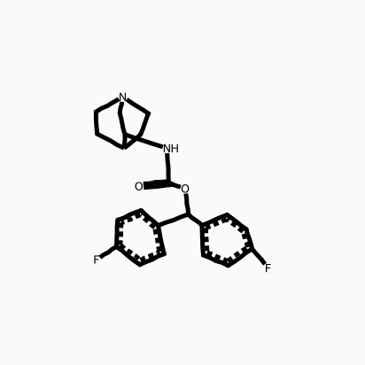 O=C(NC1CN2CCC1CC2)OC(c1ccc(F)cc1)c1ccc(F)cc1